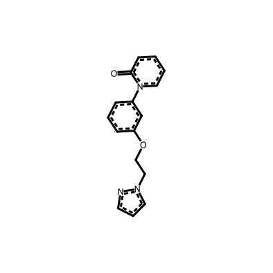 O=c1ccccn1-c1cc[c]c(OCCn2cccn2)c1